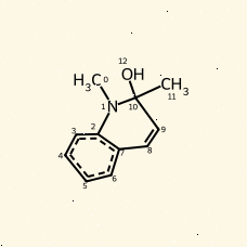 CN1c2ccccc2C=CC1(C)O